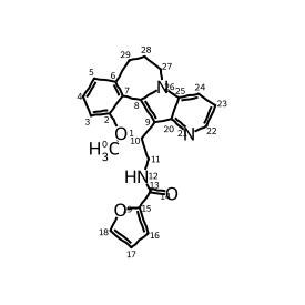 COc1cccc2c1-c1c(CCNC(=O)c3ccco3)c3ncccc3n1CCC2